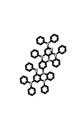 CN(c1ccccc1)c1cc(N(c2ccccc2)c2ccccc2)cc2c1B(c1ccc3c(c1)B1c4ccccc4N(c4ccccc4)c4nc(N(c5ccccc5)c5ccccc5)cc(c41)N3c1ccccc1)c1ccccc1N2c1ccccc1